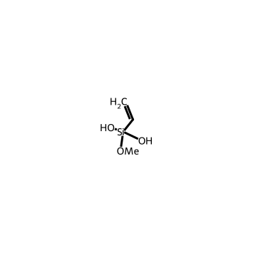 C=C[Si](O)(O)OC